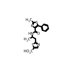 [CH2]C(Cc1ncc(C(=O)O)s1)NC(=O)c1nc(C)sc1-c1ccccc1